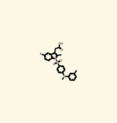 Cc1cccc(N(C)c2ccc(S(=O)(=O)n3c(C)c(CC(=O)O)c4cc(F)ccc43)cc2)c1